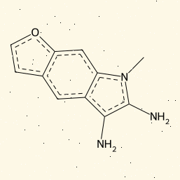 Cn1c(N)c(N)c2cc3ccoc3cc21